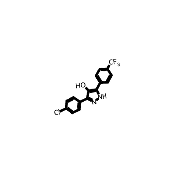 Oc1c(-c2ccc(Cl)cc2)n[nH]c1-c1ccc(C(F)(F)F)cc1